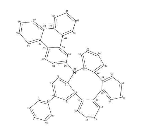 c1ccc(-c2ccc3c(c2)c2ccccc2c2ccccc2c2ccccc2n3-c2ccc3c4ccccc4c4ccccc4c3c2)cc1